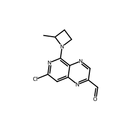 CC1CCN1c1nc(Cl)cc2nc(C=O)cnc12